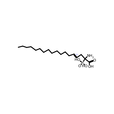 CCCCCCCCCCCCC/C=C/CC(N)(C(=O)O)P(=O)(O)O